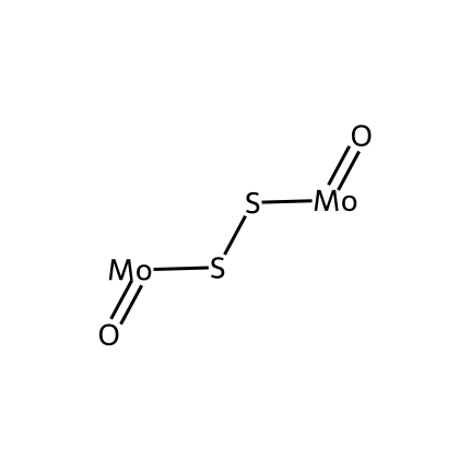 [O]=[Mo][S][S][Mo]=[O]